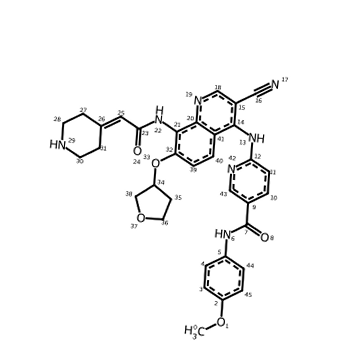 COc1ccc(NC(=O)c2ccc(Nc3c(C#N)cnc4c(NC(=O)C=C5CCNCC5)c(OC5CCOC5)ccc34)nc2)cc1